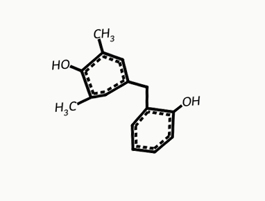 Cc1cc(Cc2ccccc2O)cc(C)c1O